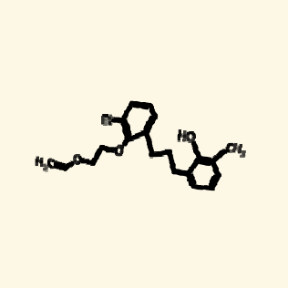 C=COCCOc1c(CC)cccc1CCCc1cccc(C)c1O